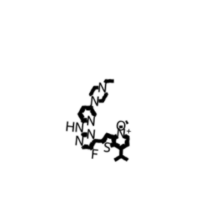 CCN1CCN(c2ccc(Nc3ncc(F)c(-c4cc5c(s4)c(C(C)C)cc[n+]5OC)n3)nc2)CC1